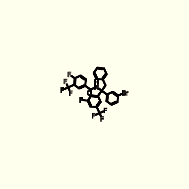 O=C(NC(Cc1ccccc1)(c1cccc(Br)c1)c1cc(F)cc(C(F)(F)F)c1)c1ccc(F)c(C(F)(F)F)c1